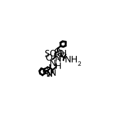 CN1N=C2CCN(C(=O)C(COCc3ccccc3)NC(=O)C(C)(C)N)CC2(Cc2ccccc2)C1=O.CS(=O)(=O)O